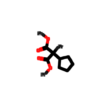 CC(C)OC(=O)C(C(=O)OC(C)C)(C(C)C)C1CCCC1